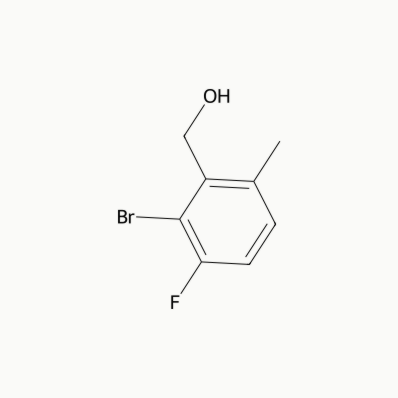 Cc1ccc(F)c(Br)c1CO